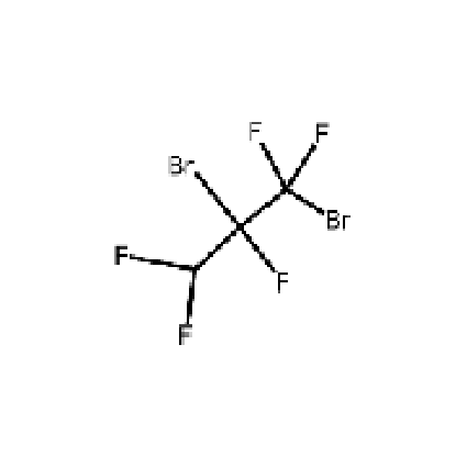 FC(F)C(F)(Br)C(F)(F)Br